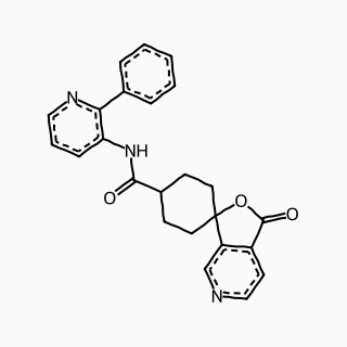 O=C1OC2(CCC(C(=O)Nc3cccnc3-c3ccccc3)CC2)c2cnccc21